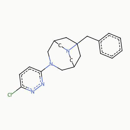 Clc1ccc(N2CC3CCCC(CN(Cc4ccccc4)C3)C2)nn1